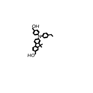 CCc1ccc(N(c2ccc(CO)cc2)c2ccc3c(c2)C(C)(C)c2cc(CO)ccc2-3)cc1